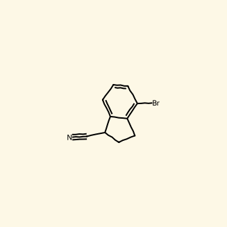 N#CC1CCc2c(Br)cccc21